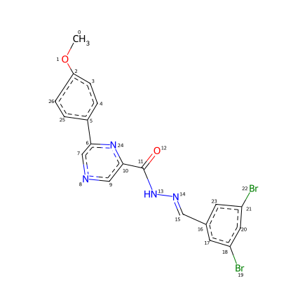 COc1ccc(-c2cncc(C(=O)NN=Cc3cc(Br)cc(Br)c3)n2)cc1